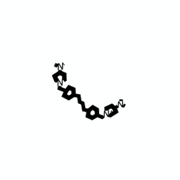 CN(C)c1cc[n+](Cc2ccc(CCCCc3ccc(C[n+]4ccc(N(C)C)cc4)cc3)cc2)cc1